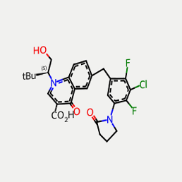 CC(C)(C)[C@@H](CO)n1cc(C(=O)O)c(=O)c2cc(Cc3cc(N4CCCC4=O)c(F)c(Cl)c3F)ccc21